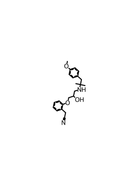 COc1ccc(CC(C)(C)NCC(O)COc2ccccc2CC#N)cc1